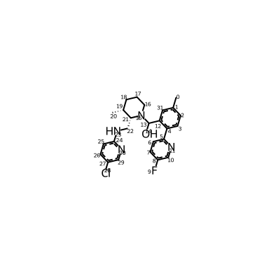 Cc1ccc(-c2ccc(F)cn2)c(C(O)N2CCC[C@@H](C)[C@H]2CNc2ccc(Cl)cn2)c1